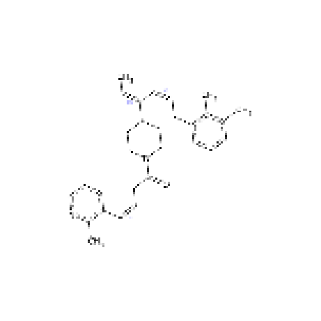 C/C=C(\C=C/Cc1cccc(C)c1C)C1CCN(C(=O)C/C=C\c2cccnc2C)CC1